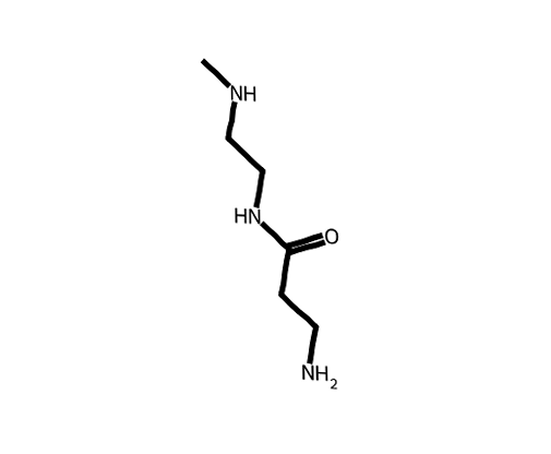 CNCCNC(=O)CCN